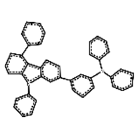 c1ccc(-c2cccc3c2c2ccc(-c4cccc(N(c5ccccc5)c5ccccc5)c4)cc2n3-c2ccccc2)cc1